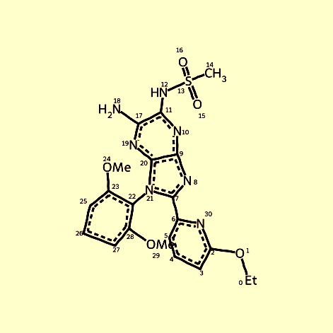 CCOc1cccc(-c2nc3nc(NS(C)(=O)=O)c(N)nc3n2-c2c(OC)cccc2OC)n1